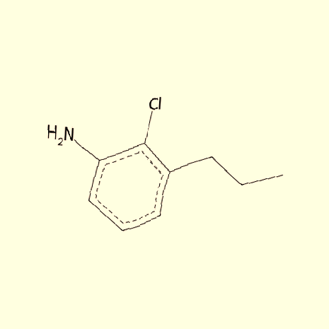 CCCc1cccc(N)c1Cl